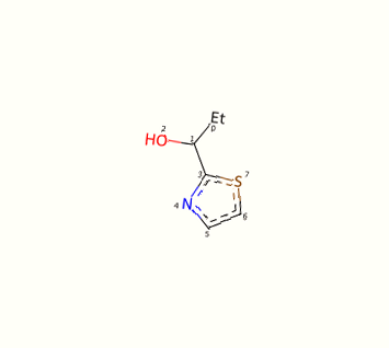 [CH2]CC(O)c1nccs1